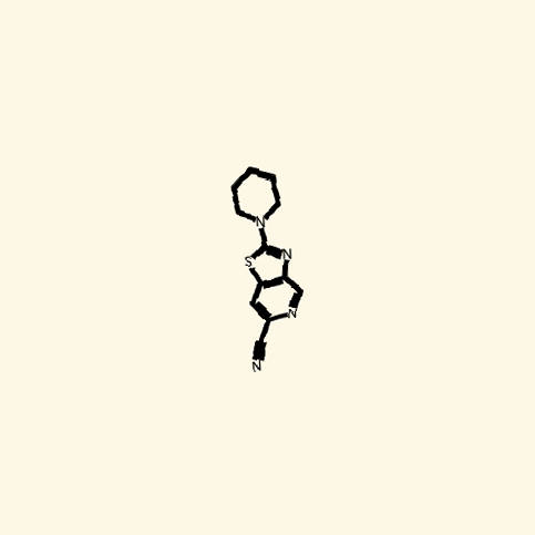 N#Cc1cc2sc(N3CCCCC3)nc2cn1